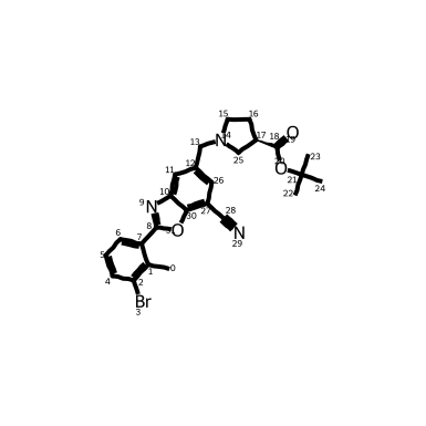 Cc1c(Br)cccc1-c1nc2cc(CN3CC[C@@H](C(=O)OC(C)(C)C)C3)cc(C#N)c2o1